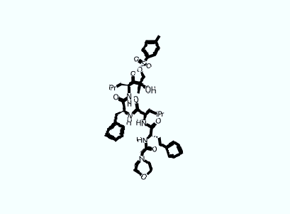 Cc1ccc(S(=O)(=O)OCC(C)(O)C(=O)[C@H](CC(C)C)NC(=O)[C@H](Cc2ccccc2)NC(=O)C(CC(C)C)NC(=O)[C@H](CCc2ccccc2)NC(=O)CN2CCOCC2)cc1